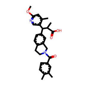 COc1cc(C)c(C(c2ccc3c(c2)CN(C(=O)c2ccc(C)c(C)c2)CC3)C(C)C(=O)O)cn1